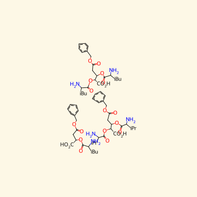 CC(C)C(N)C(=O)OC(CC(=O)OCc1ccccc1)C(OC(=O)C(N)C(C)C)C(=O)O.CCC(C)C(N)C(=O)OC(CC(=O)OCc1ccccc1)C(=O)O.CCC(C)C(N)C(=O)OC(CC(=O)OCc1ccccc1)C(OC(=O)C(N)C(C)CC)C(=O)O